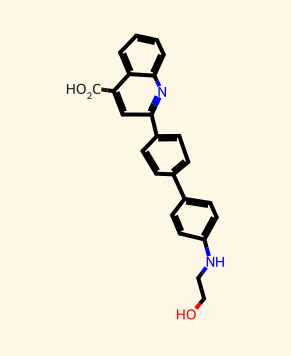 O=C(O)c1cc(-c2ccc(-c3ccc(NCCO)cc3)cc2)nc2ccccc12